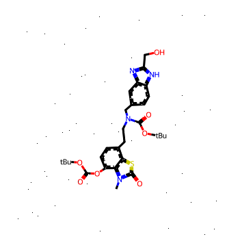 Cn1c(=O)sc2c(CCN(Cc3ccc4[nH]c(CO)nc4c3)C(=O)OC(C)(C)C)ccc(OC(=O)OC(C)(C)C)c21